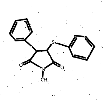 CN1C(=O)C(Sc2ccccc2)C(c2ccccc2)C1=O